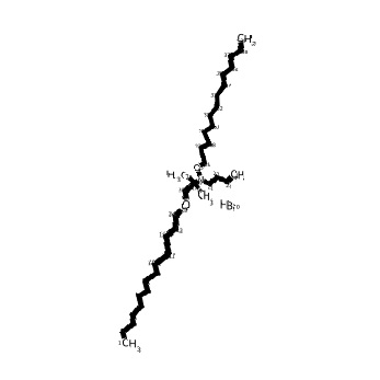 Br.CCCCCCCCCCCCCCOCC(C)(C)N(CCCO)OCCCCCCCCCCCCCC